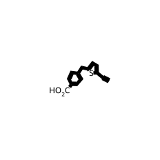 C#Cc1ccc(Cc2ccc(C(=O)O)cc2)s1